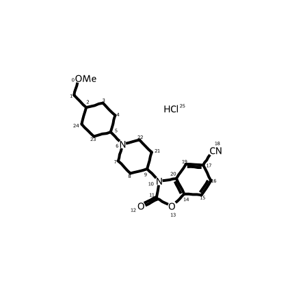 COCC1CCC(N2CCC(n3c(=O)oc4ccc(C#N)cc43)CC2)CC1.Cl